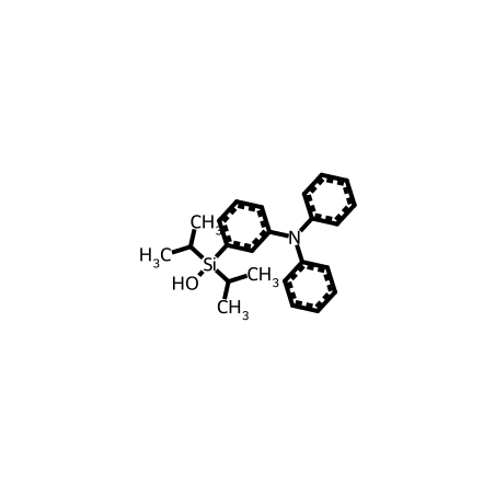 CC(C)[Si](O)(c1cccc(N(c2ccccc2)c2ccccc2)c1)C(C)C